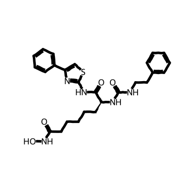 O=C(CCCCC[C@H](NC(=O)NCCc1ccccc1)C(=O)Nc1nc(-c2ccccc2)cs1)NO